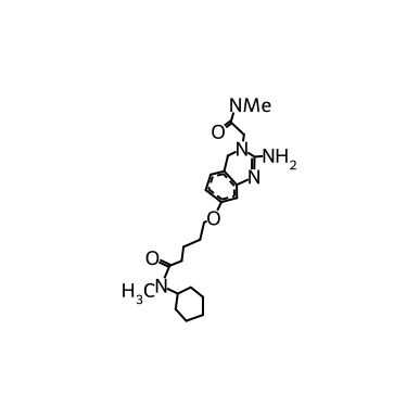 CNC(=O)CN1Cc2ccc(OCCCCC(=O)N(C)C3CCCCC3)cc2N=C1N